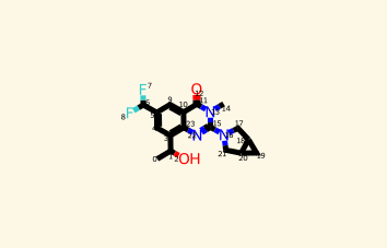 CC(O)c1cc(C(F)F)cc2c(=O)n(C)c(N3CC4CC4C3)nc12